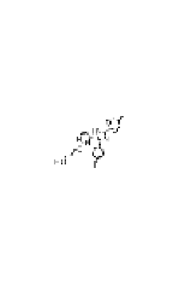 C=C1COC(c2nc(-c3ccc(F)cc3)c(-c3ccnc(OCCCO)n3)[nH]2)OC1